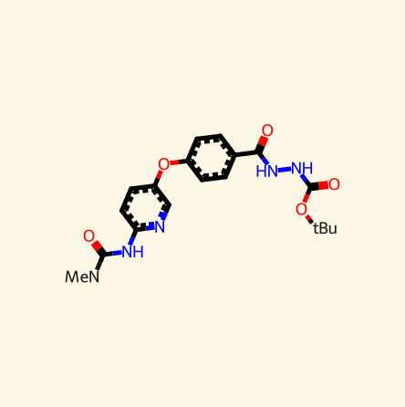 CNC(=O)Nc1ccc(Oc2ccc(C(=O)NNC(=O)OC(C)(C)C)cc2)cn1